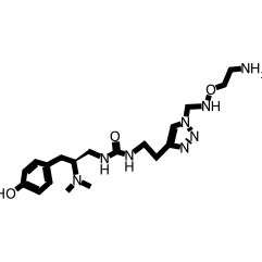 CN(C)[C@H](CNC(=O)NCCc1cn(CNOCCN)nn1)Cc1ccc(O)cc1